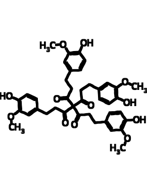 COc1cc(CCC(=O)C(C(=O)CCc2ccc(O)c(OC)c2)(C(=O)CCc2ccc(O)c(OC)c2)C(=O)CCc2ccc(O)c(OC)c2)ccc1O